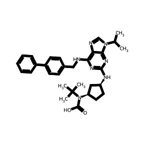 CC(C)n1cnc2c(NCc3ccc(-c4ccccc4)cc3)nc(N[C@H]3CC[C@@H](N(C(=O)O)C(C)(C)C)C3)nc21